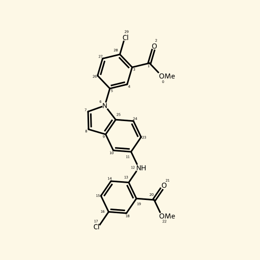 COC(=O)c1cc(-n2ccc3cc(Nc4ccc(Cl)cc4C(=O)OC)ccc32)ccc1Cl